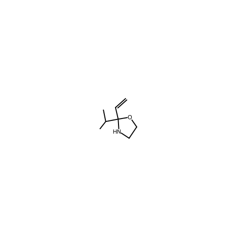 C=CC1(C(C)C)NCCO1